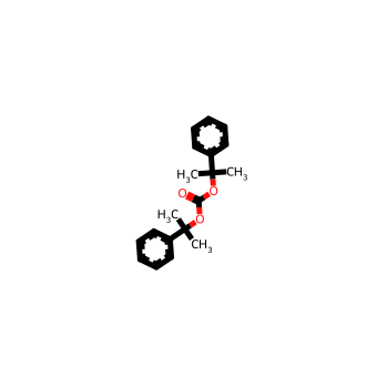 CC(C)(OC(=O)OC(C)(C)c1ccccc1)c1ccccc1